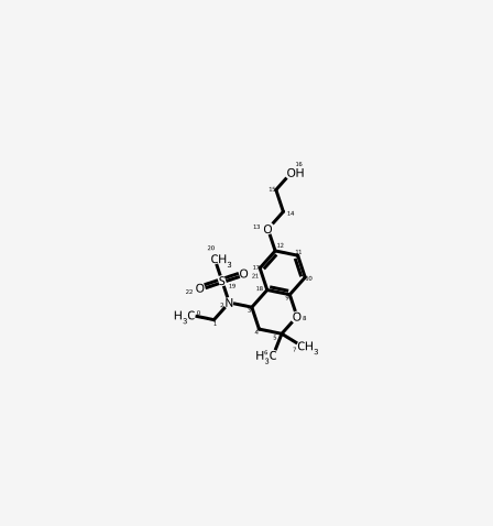 CCN(C1CC(C)(C)Oc2ccc(OCCO)cc21)S(C)(=O)=O